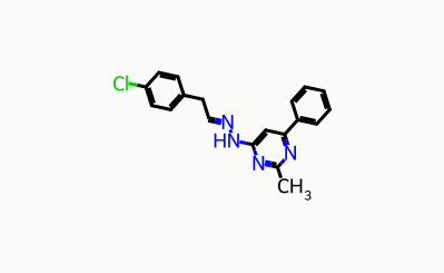 Cc1nc(NN=CCc2ccc(Cl)cc2)cc(-c2ccccc2)n1